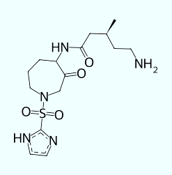 C[C@@H](CCN)CC(=O)NC1CCCN(S(=O)(=O)c2ncc[nH]2)CC1=O